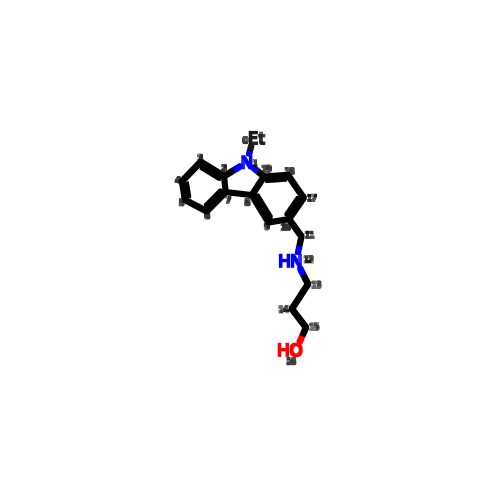 CCn1c2ccccc2c2cc(CNCCCO)ccc21